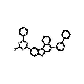 Clc1nc(-c2ccccc2)nc(-c2ccc3sc4cc(-c5cccc(-c6ccccc6)c5)c5ccccc5c4c3c2)n1